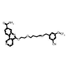 N#Cc1cc(CNCCCCOCCOc2nc3cc(C(N)=O)ccc3c3cnccc23)cc(OC(F)(F)F)c1